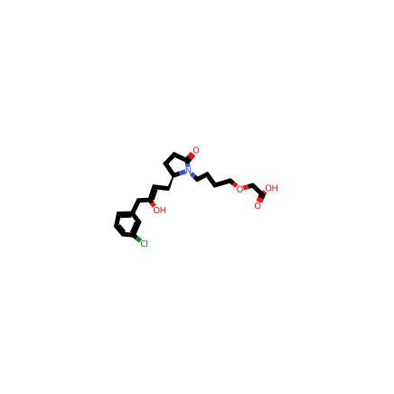 O=C(O)COCCCCN1C(=O)CC[C@@H]1C/C=C(\O)Cc1cccc(Cl)c1